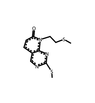 CSCCn1c(=O)ccc2cnc(SC)nc21